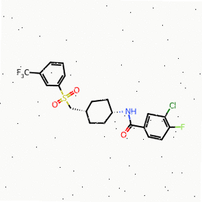 O=C(N[C@H]1CC[C@@H](CS(=O)(=O)c2cccc(C(F)(F)F)c2)CC1)c1ccc(F)c(Cl)c1